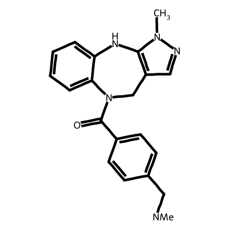 CNCc1ccc(C(=O)N2Cc3cnn(C)c3Nc3ccccc32)cc1